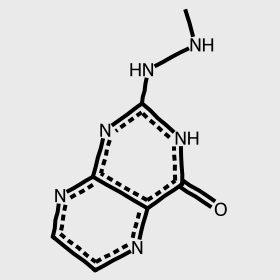 CNNc1nc2nccnc2c(=O)[nH]1